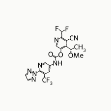 CO[C@H](C)c1c(OC(=O)Nc2cnc(-n3nccn3)c(C(F)(F)F)c2)cnc(C(F)F)c1C#N